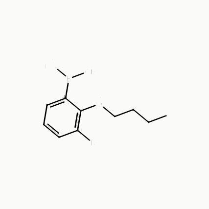 CCCCOc1c(Br)cccc1B(O)O